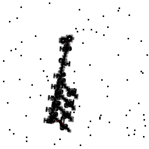 C=CCOC(=O)NCCCCCC(=O)N(CCNC(=O)CN(CCNC(=O)CN(CCNC(=O)CN(CCNC(=O)CCCCCNC(=O)CCCCCNC(=O)OCC1c2ccccc2-c2ccccc21)C(=O)CCCCCNC(=O)OCC=C)C(=O)CCCCCNC(=O)OCC=C)C(=O)CCCCCNC(=O)OCC=C)CC(=O)NC